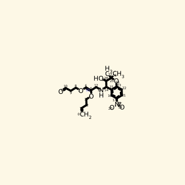 C=CCCO/C(=C\OCCC=O)CNC1c2cc([N+](=O)[O-])ccc2OC(C)(C)C1O